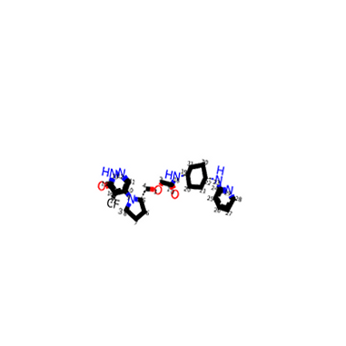 O=C(COC[C@@H]1CCCN1c1cn[nH]c(=O)c1C(F)(F)F)N[C@H]1CC[C@@H](Nc2ccccn2)CC1